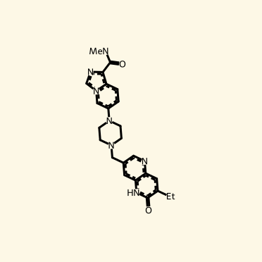 CCc1cc2ncc(CN3CCN(c4ccc5c(C(=O)NC)ncn5c4)CC3)cc2[nH]c1=O